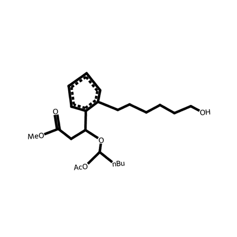 CCCCC(OC(C)=O)OC(CC(=O)OC)c1ccccc1CCCCCCO